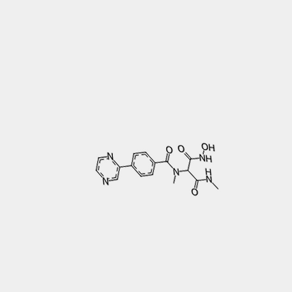 CNC(=O)C(C(=O)NO)N(C)C(=O)c1ccc(-c2cnccn2)cc1